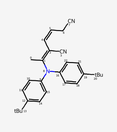 C/C(=C(C#N)\C=C/CC#N)N(c1ccc(C(C)(C)C)cc1)c1ccc(C(C)(C)C)cc1